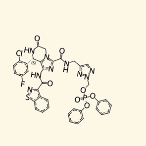 O=C1Cn2c(C(=O)NCc3cnn(COP(=O)(Oc4ccccc4)Oc4ccccc4)n3)nc(NC(=O)c3nsc4ccccc34)c2[C@H](c2cc(F)ccc2Cl)N1